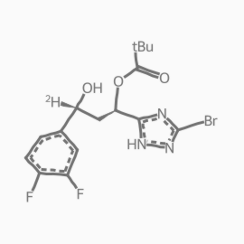 [2H][C@@](O)(C[C@@H](OC(=O)C(C)(C)C)c1nc(Br)n[nH]1)c1ccc(F)c(F)c1